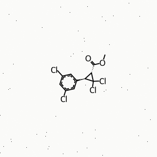 COC(=O)[C@H]1[C@H](c2cc(Cl)cc(Cl)c2)C1(Cl)Cl